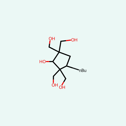 CCCCC1CC(CO)(CO)C(O)C1(CO)CO